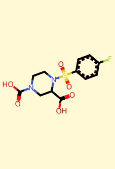 O=C(O)C1CN(C(=O)O)CCN1S(=O)(=O)c1ccc(F)cc1